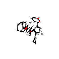 CC(C)(C)OC(=O)N1C2CCC1CC(OC(=O)c1c(C34CCC(CC3)CC4)noc1C1CC1)C2